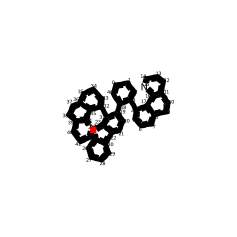 c1ccc(-c2cccc3ccc4cccnc4c23)c(-c2ccc3c(sc4ccccc43)c2-c2cccc3ccc4cccnc4c23)c1